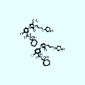 Cc1cn(-c2ccc(Cl)c(C(=O)NCC3(O)CCCCCC3)c2)c(=O)n1CCCOC1CCNC1.O=C(NCC1(O)CCCCCC1)c1cc(-n2ccn(CCCOC3CCNC3)c2=O)ccc1Cl